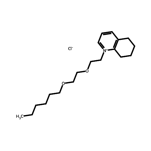 CCCCCCOCCOCC[n+]1cccc2c1CCCC2.[Cl-]